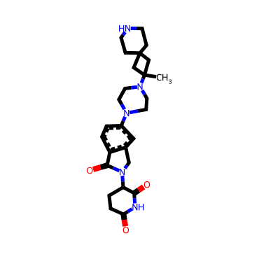 CC1(N2CCN(c3ccc4c(c3)CN(C3CCC(=O)NC3=O)C4=O)CC2)CC2(CCNCC2)C1